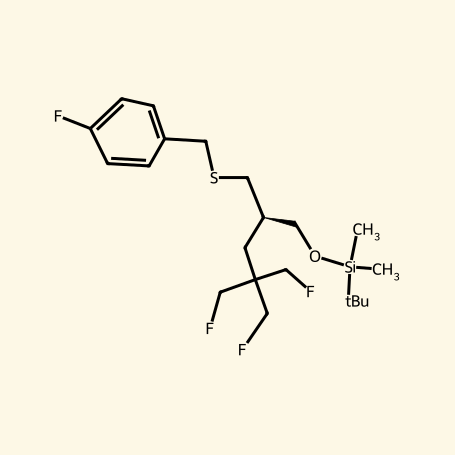 CC(C)(C)[Si](C)(C)OC[C@H](CSCc1ccc(F)cc1)CC(CF)(CF)CF